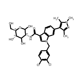 Cc1nn(C)c(C)c1-c1ccc2c(C(=O)N[C@H]3C(O)O[C@H](CO)[C@@H](O)C3O)cn(Cc3ccc(Cl)c(Cl)c3)c2c1